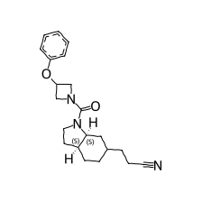 N#CCCC1CC[C@H]2CCN(C(=O)N3CC(Oc4ccccc4)C3)[C@H]2C1